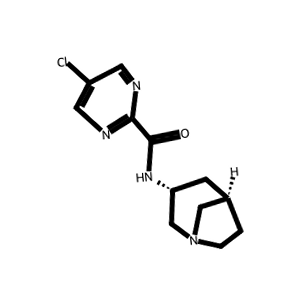 O=C(N[C@@H]1C[C@H]2CCN(C2)C1)c1ncc(Cl)cn1